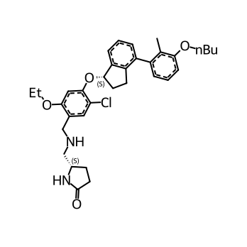 CCCCOc1cccc(-c2cccc3c2CC[C@@H]3Oc2cc(OCC)c(CNC[C@@H]3CCC(=O)N3)cc2Cl)c1C